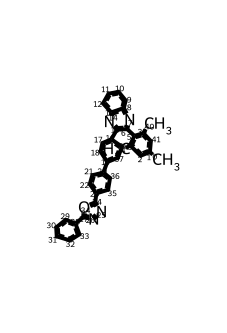 Cc1cc(C)c(-c2nc3ccccc3nc2-c2ccc(-c3ccc(-c4nnc(-c5ccccc5)o4)cc3)cc2)c(C)c1